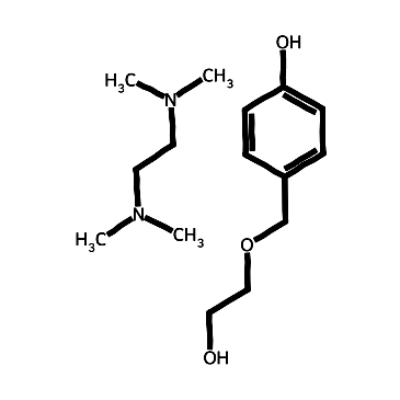 CN(C)CCN(C)C.OCCOCc1ccc(O)cc1